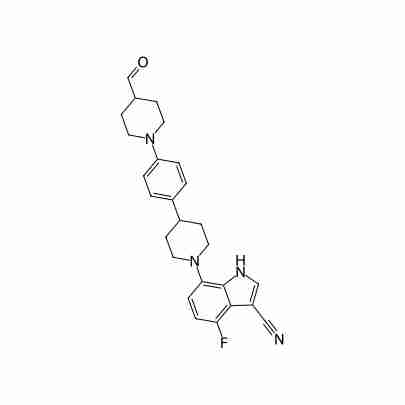 N#Cc1c[nH]c2c(N3CCC(c4ccc(N5CCC(C=O)CC5)cc4)CC3)ccc(F)c12